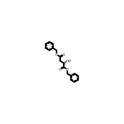 O=C(C[C@@H](O)C(=O)OCc1ccccc1)OCc1ccccc1